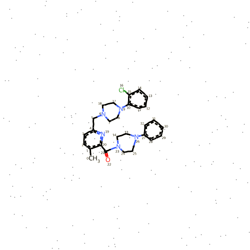 Cc1ccc(CN2CCN(c3ccccc3Cl)CC2)nc1C(=O)N1CCN(c2ccccc2)CC1